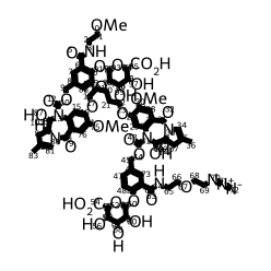 COCCNC(=O)c1cc(COC(=O)N2c3cc(OCCCCCOc4cc5c(cc4OC)C(=O)N4C=C(C)C[C@H]4C(O)N5C(=O)OCc4ccc(O[C@@H]5O[C@H](C(=O)O)[C@@H](O)[C@H](O)[C@H]5O)c(C(=O)NCCOCCN=[N+]=[N-])c4)c(OC)cc3C(=O)N3C=C(C)C[C@H]3C2O)ccc1O[C@@H]1O[C@H](C(=O)O)[C@@H](O)[C@H](O)[C@H]1O